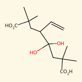 C=CC(CC(C)(C)C(=O)O)C(O)(O)CC(C)(C)C(=O)O